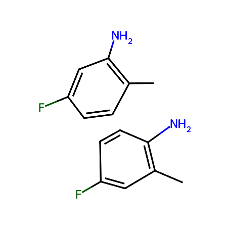 Cc1cc(F)ccc1N.Cc1ccc(F)cc1N